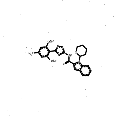 COc1cc(C)cc(OC)c1-c1nsc(NC(=O)c2cc3ccccc3n2C2CCCCO2)n1